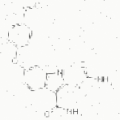 NC(=O)Nc1[nH]c2cc(Oc3ccc(N=O)cc3)ccc2c1C(N)=O